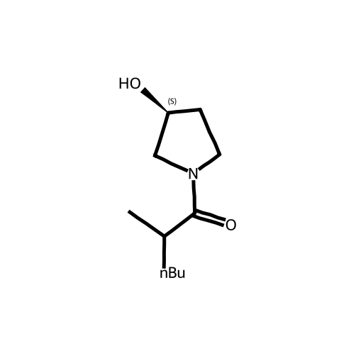 CCCCC(C)C(=O)N1CC[C@H](O)C1